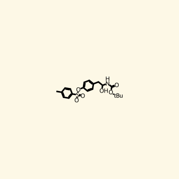 Cc1ccc(S(=O)(=O)Oc2ccc(CC(O)NC(=O)OC(C)(C)C)cc2)cc1